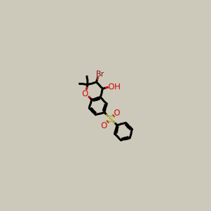 CC1(C)Oc2ccc(S(=O)(=O)c3ccccc3)cc2C(O)C1Br